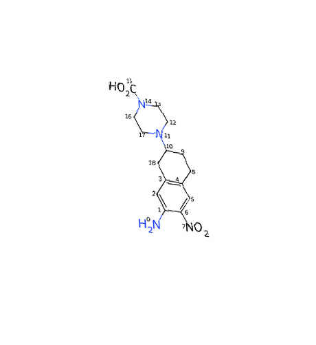 Nc1cc2c(cc1[N+](=O)[O-])CCC(N1CCN(C(=O)O)CC1)C2